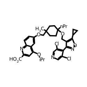 CCCC1(OCc2c(-c3c(Cl)cncc3Cl)noc2C2CC2)CCC(C)(COc2ccc3nc(C(=O)O)cc(OC(C)C)c3c2)CC1